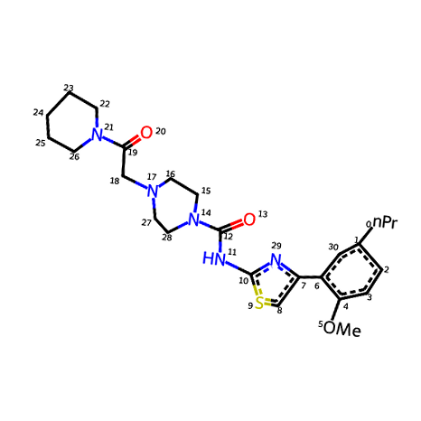 CCCc1ccc(OC)c(-c2csc(NC(=O)N3CCN(CC(=O)N4CCCCC4)CC3)n2)c1